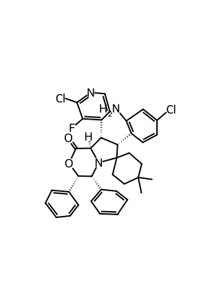 CC1(C)CCC2(CC1)[C@@H](c1ccc(Cl)cc1N)[C@@H](c1ccnc(Cl)c1F)[C@@H]1C(=O)O[C@@H](c3ccccc3)[C@@H](c3ccccc3)N12